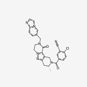 C[C@@H]1Cc2nn3c(c2CN1C(=O)c1ccc(Cl)c(C#N)c1)C(=O)N(Cc1ccc2nccn2c1)CC3